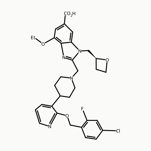 CCOc1cc(C(=O)O)cc2c1nc(CN1CCC(c3cccnc3OCc3ccc(Cl)cc3F)CC1)n2C[C@@H]1CCO1